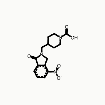 O=C(O)N1CCC(CN2Cc3c(cccc3[N+](=O)[O-])C2=O)CC1